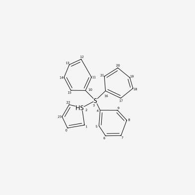 C1=C[SH](S(c2ccccc2)(c2ccccc2)c2ccccc2)C=C1